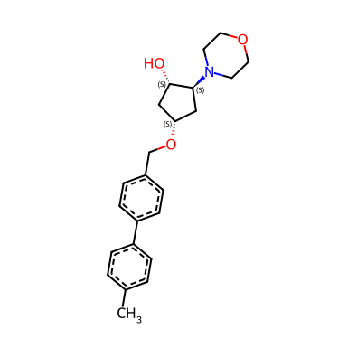 Cc1ccc(-c2ccc(CO[C@@H]3C[C@H](O)[C@@H](N4CCOCC4)C3)cc2)cc1